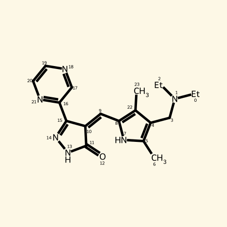 CCN(CC)Cc1c(C)[nH]c(C=C2C(=O)NN=C2c2cnccn2)c1C